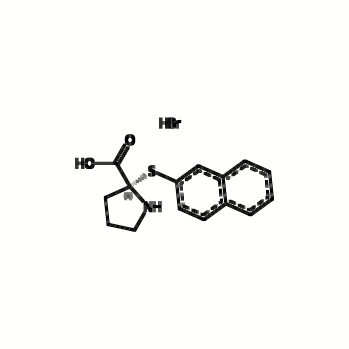 Br.O=C(O)[C@]1(Sc2ccc3ccccc3c2)CCCN1